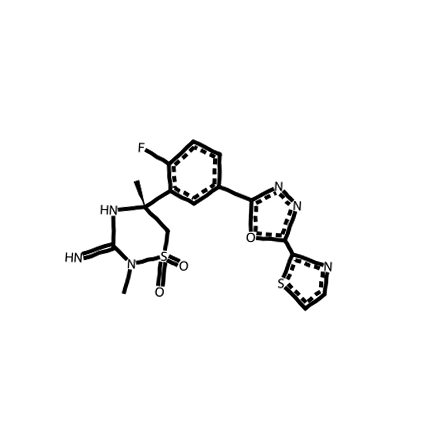 CN1C(=N)N[C@](C)(c2cc(-c3nnc(-c4nccs4)o3)ccc2F)CS1(=O)=O